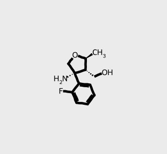 C[C@@H]1OC[C@](N)(c2ccccc2F)[C@H]1CO